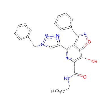 O=C(O)CNC(=O)c1nc(-c2cn(Cc3ccccc3)nn2)c2c(-c3ccccc3)noc2c1O